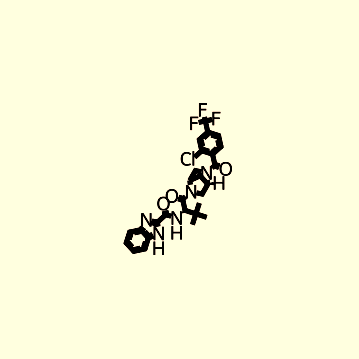 CC(C)(C)[C@H](NC(=O)c1nc2ccccc2[nH]1)C(=O)N1C[C@@H]2CC1CN2C(=O)c1ccc(C(F)(F)F)cc1Cl